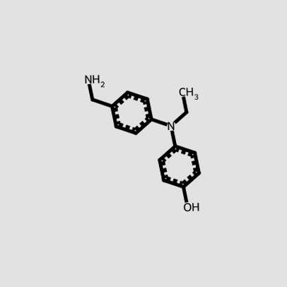 CCN(c1ccc(O)cc1)c1ccc(CN)cc1